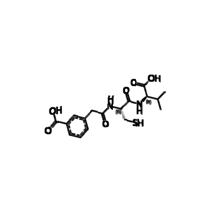 CC(C)[C@@H](NC(=O)[C@H](CS)NC(=O)Cc1cccc(C(=O)O)c1)C(=O)O